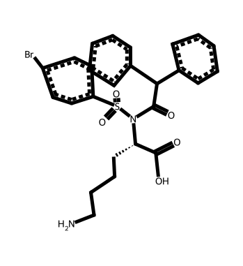 NCCCC[C@@H](C(=O)O)N(C(=O)C(c1ccccc1)c1ccccc1)S(=O)(=O)c1ccc(Br)cc1